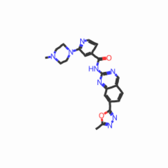 Cc1nnc(-c2ccc3cnc(NC(=O)c4ccnc(N5CCN(C)CC5)c4)nc3c2)o1